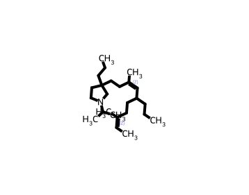 C/C=C(/C)CCC(/C=C(/C)CCC1(CCC)CCN(C(C)C)C1)CCC